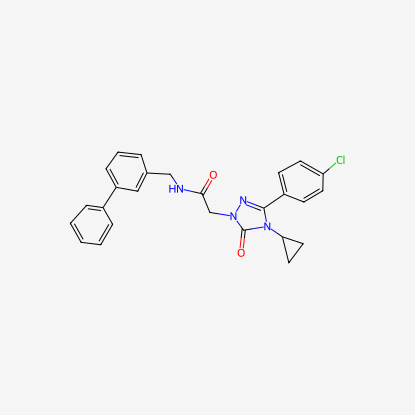 O=C(Cn1nc(-c2ccc(Cl)cc2)n(C2CC2)c1=O)NCc1cccc(-c2ccccc2)c1